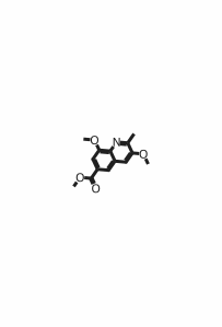 COC(=O)c1cc(OC)c2nc(C)c(OC)cc2c1